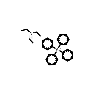 CC[NH+](CC)CC.c1cc[c]([Al-]([c]2ccccc2)([c]2ccccc2)[c]2ccccc2)cc1